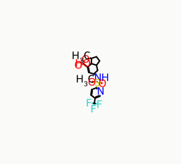 C[C@]1(NS(=O)(=O)c2ccc(C(F)(F)F)cn2)C=C2C(=O)O[C@]3(C)CCC(C1)[C@]23O